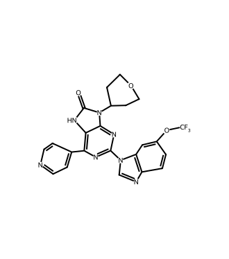 O=c1[nH]c2c(-c3ccncc3)nc(-n3cnc4ccc(OC(F)(F)F)cc43)nc2n1C1CCOCC1